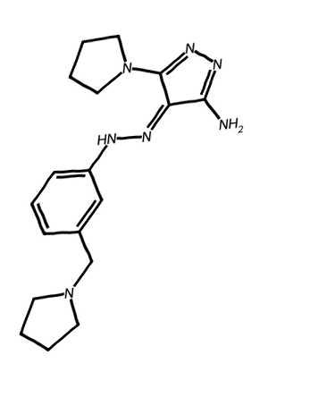 NC1=NN=C(N2CCCC2)/C1=N\Nc1cccc(CN2CCCC2)c1